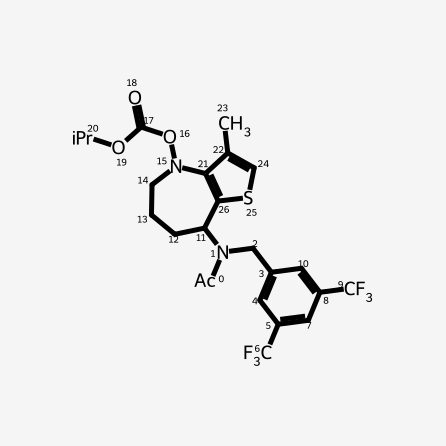 CC(=O)N(Cc1cc(C(F)(F)F)cc(C(F)(F)F)c1)C1CCCN(OC(=O)OC(C)C)c2c(C)csc21